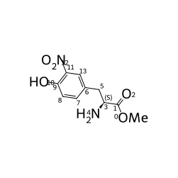 COC(=O)[C@@H](N)Cc1ccc(O)c([N+](=O)[O-])c1